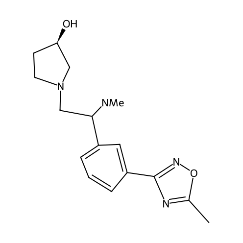 CNC(CN1CC[C@@H](O)C1)c1cccc(-c2noc(C)n2)c1